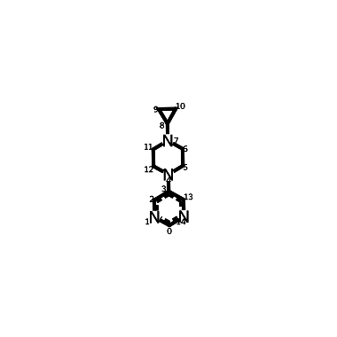 c1ncc(N2CCN(C3CC3)CC2)cn1